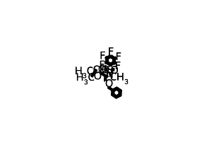 CN(C(COCc1ccccc1)C(=O)OC(C)(C)C)S(=O)(=O)c1c(F)c(F)c(F)c(F)c1F